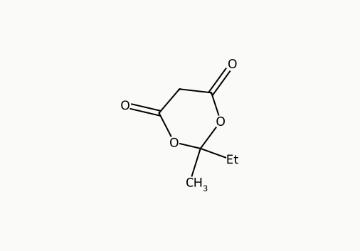 CCC1(C)OC(=O)CC(=O)O1